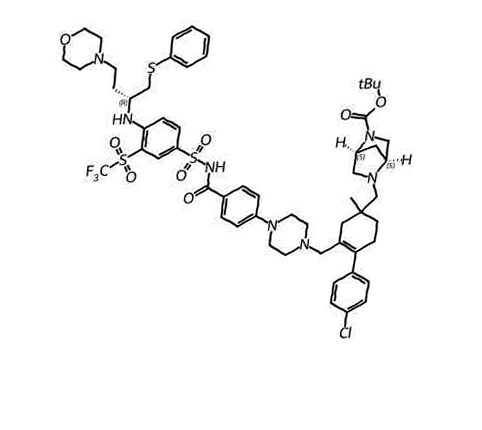 CC1(CN2C[C@@H]3C[C@H]2CN3C(=O)OC(C)(C)C)CCC(c2ccc(Cl)cc2)=C(CN2CCN(c3ccc(C(=O)NS(=O)(=O)c4ccc(N[C@H](CCN5CCOCC5)CSc5ccccc5)c(S(=O)(=O)C(F)(F)F)c4)cc3)CC2)C1